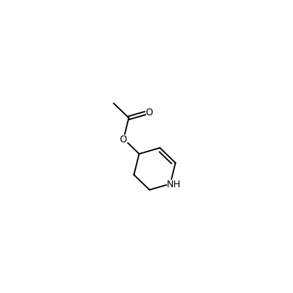 CC(=O)OC1C=CNCC1